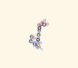 CN1CCN([C@@H]2CCCN(c3cnc(C(N)=O)c(Nc4ccc(N5CCC(N6Cc7cc8onc(C9CCC(=O)NC9=O)c8cc7C6)CC5)cc4)n3)C2)C1=O